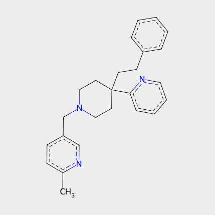 Cc1ccc(CN2CCC(CCc3ccccc3)(c3ccccn3)CC2)cn1